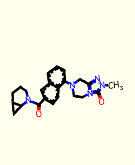 Cn1nc2n(c1=O)CCN(c1cccc3cc(C(=O)N4CCCC5CC54)ccc13)C2